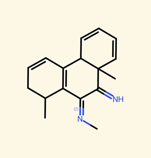 C/N=C1\C(=N)C2(C)C=CC=CC2C2=C1C(C)CC=C2